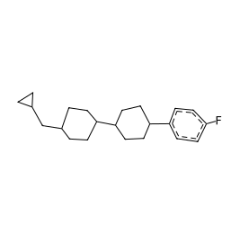 Fc1ccc(C2CCC(C3CCC(CC4CC4)CC3)CC2)cc1